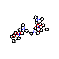 c1ccc(-c2ccccc2-c2c(-c3ccccc3)cccc2N(c2ccc(-c3cc(-c4cccc(-n5c6ccccc6c6c(N(c7ccc(-c8ccccc8-n8c9ccccc9c9ccccc98)cc7)c7cccc(-c8ccccc8)c7-c7ccccc7-c7ccccc7)cccc65)c4)ccc3-n3c4ccccc4c4ccccc43)cc2)c2cccc3c2sc2ccccc23)cc1